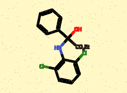 CCOC(=O)C(O)(Nc1c(Cl)cccc1Cl)c1ccccc1